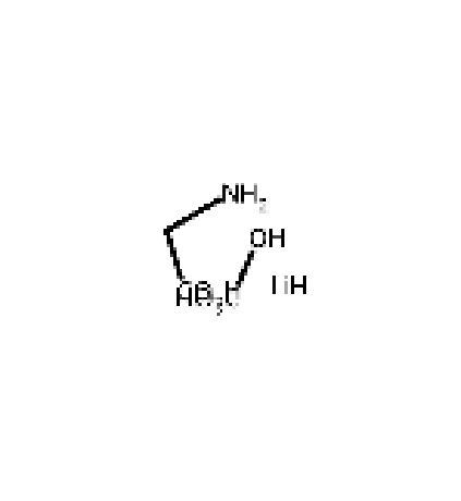 NCC(=O)O.O=C(O)O.[LiH]